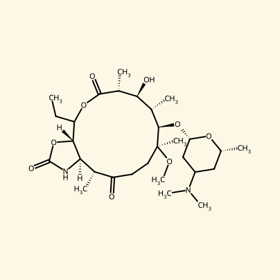 CCC1OC(=O)[C@H](C)[C@@H](O)[C@H](C)[C@@H](O[C@H]2CC(N(C)C)C[C@@H](C)O2)[C@@](C)(OC)CCC(=O)[C@H](C)[C@H]2NC(=O)O[C@H]12